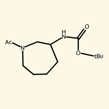 CC(=O)N1CCCCC(NC(=O)OC(C)(C)C)C1